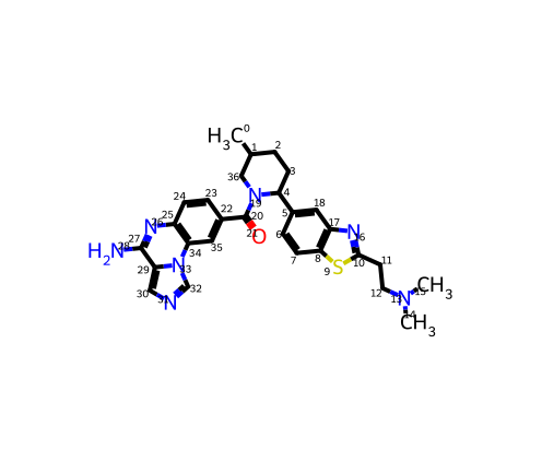 CC1CCC(c2ccc3sc(CCN(C)C)nc3c2)N(C(=O)c2ccc3nc(N)c4cncn4c3c2)C1